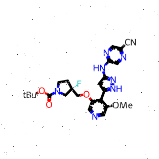 COc1cncc(OC[C@]2(F)CCN(C(=O)OC(C)(C)C)C2)c1-c1cc(Nc2cnc(C#N)cn2)n[nH]1